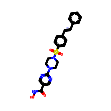 O=C(NO)c1cnc(N2CCN(S(=O)(=O)c3ccc(/C=C/c4ccccc4)cc3)CC2)nc1